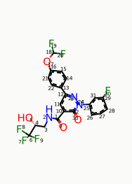 O=C(NC[C@@H](O)C(F)(F)F)c1cc(-c2ccc(OC(F)F)cc2)nn(-c2cccc(F)c2)c1=O